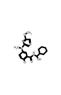 COc1cncc(N(C)c2ccc(Cl)c(C(=O)NC(O)C3CCCCC3)c2)n1